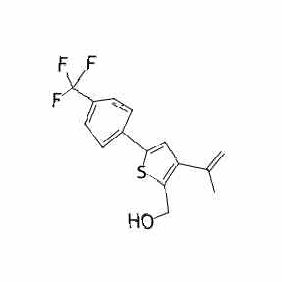 C=C(C)c1cc(-c2ccc(C(F)(F)F)cc2)sc1CO